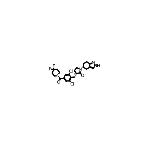 O=C(c1cc(Cl)c(C[C@@H]2CCN([C@H]3CCc4n[nH]cc4C3)C2=O)c(Cl)c1)N1CCC(F)(F)CC1